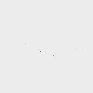 O=C(O)c1cnc2nc(OCC(F)(F)F)ccc2c1